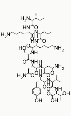 CC[C@H](C)[C@H](N)C(=O)N[C@@H](CCCCN)C(=O)N[C@@H](CC(C)C)C(=O)N[C@@H](CCCCN)C(=O)N[C@@H](CO)C(=O)N[C@@H](CC(N)=O)C(=O)N[C@@H](CC(N)=O)C(=O)N[C@@H](Cc1ccc(O)cc1)C(=O)N[C@H](C(=O)N[C@H](C(=O)O)[C@@H](C)O)C(C)C